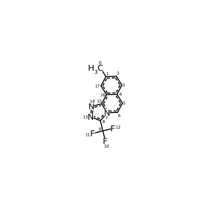 Cc1ccc2ccn3c(C(F)(F)F)nnc3c2c1